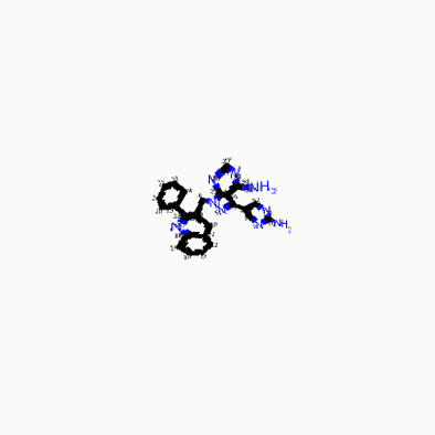 Nc1ncc(-c2nn(Cc3cc4ccccc4nc3-c3ccccc3)c3ncnc(N)c23)cn1